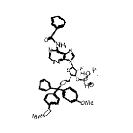 COc1ccc(C(OC[C@H]2O[C@@H](n3cnc4c(NC(=O)c5ccccc5)ncnc43)[C@H](F)[C@@H]2O[PH](=O)O)(c2ccccc2)c2ccc(OC)cc2)cc1.[P]